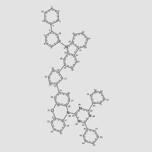 c1ccc(-c2cccc(-n3c4ccccc4c4ccc(-c5cccc(-c6ccc7c(c6)Oc6ccccc6N7c6nc(-c7ccccc7)nc(-c7ccccc7)n6)c5)cc43)c2)cc1